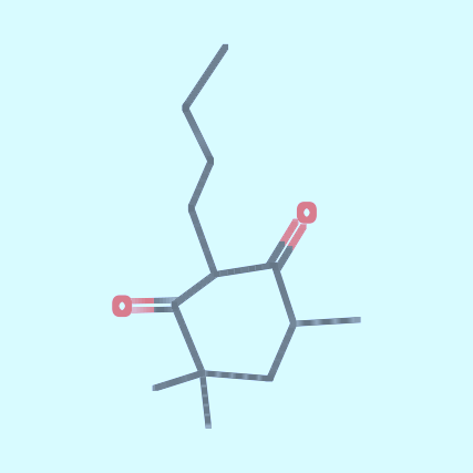 CCCCC1C(=O)C(C)CC(C)(C)C1=O